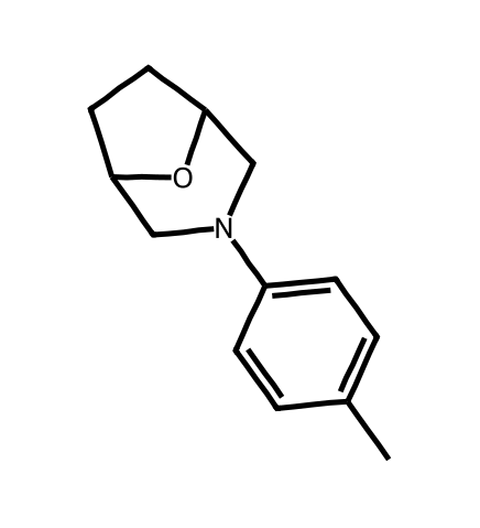 Cc1ccc(N2CC3CCC(C2)O3)cc1